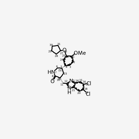 COc1ccc([C@H]2CNC(=O)[C@@H](Cc3nc4cc(Cl)c(Cl)cc4[nH]3)C2)cc1OC1CCCC1